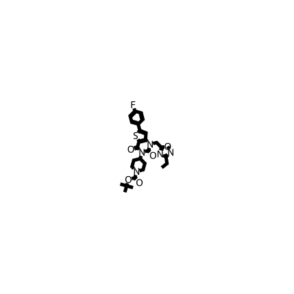 CCc1noc(Cn2c(=O)n(C3CCN(C(=O)OC(C)(C)C)CC3)c(=O)c3sc(-c4ccc(F)cc4)cc32)n1